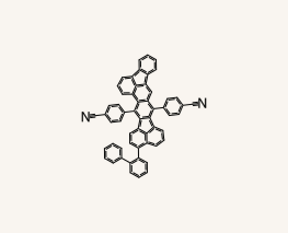 N#Cc1ccc(-c2c3cc4c5ccccc5c5cccc(c3c(-c3ccc(C#N)cc3)c3c6ccc(-c7ccccc7-c7ccccc7)c7cccc(c23)c76)c54)cc1